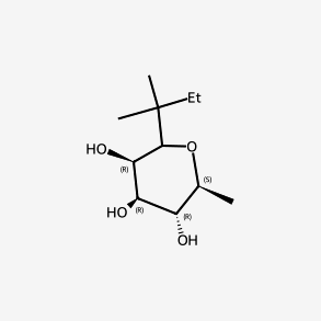 CCC(C)(C)C1O[C@@H](C)[C@H](O)[C@@H](O)[C@H]1O